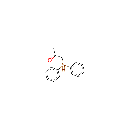 CC(=O)C[SH](c1ccccc1)c1ccccc1